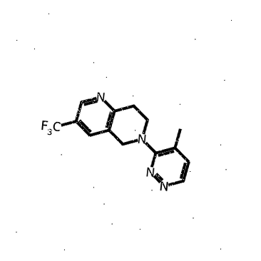 Cc1ccnnc1N1CCc2ncc(C(F)(F)F)cc2C1